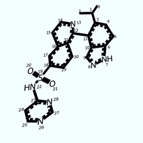 CC(C)c1ccc2[nH]ncc2c1-c1nccc2cc(S(=O)(=O)Nc3ccncn3)ccc12